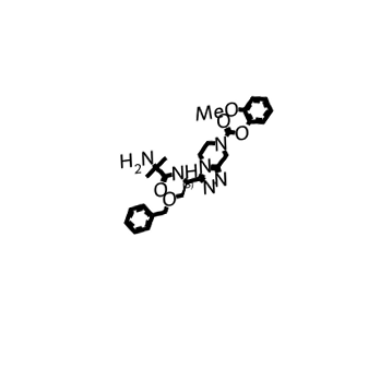 COc1ccccc1OC(=O)N1CCn2c(nnc2[C@@H](COCc2ccccc2)NC(=O)C(C)(C)N)C1